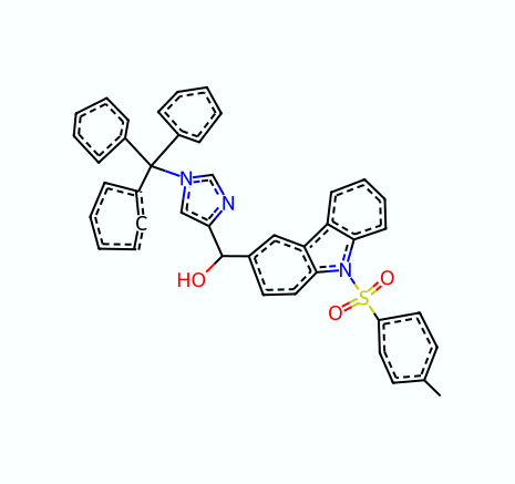 Cc1ccc(S(=O)(=O)n2c3ccccc3c3cc(C(O)c4cn(C(c5ccccc5)(c5ccccc5)c5ccccc5)cn4)ccc32)cc1